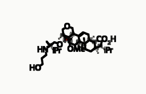 CO[C@@H]1C[C@@]23COC[C@@](C)([C@@H]2CC[C@H]2C3=CC[C@@]3(C)[C@H](C(=O)O)[C@@](C)([C@H](C)C(C)C)CC[C@]23C)[C@H]1OC[C@](C)(NCCCO)C(C)C